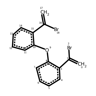 C=C(Br)c1ccccc1Oc1ccccc1C(=C)Br